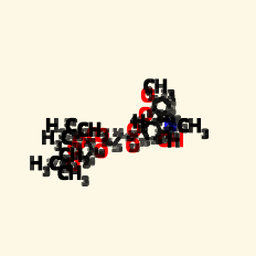 COc1ccc2c3c1O[C@H]1C(OC(=O)CCC(=O)O[C@@H](CC(=O)OC(C)(C)C)C(=O)OC(C)(C)C)=CC[C@@]4(O)[C@@H](C2)N(C)CC[C@]314